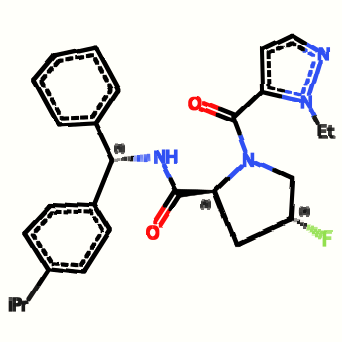 CCn1nccc1C(=O)N1C[C@H](F)C[C@H]1C(=O)N[C@@H](c1ccccc1)c1ccc(C(C)C)cc1